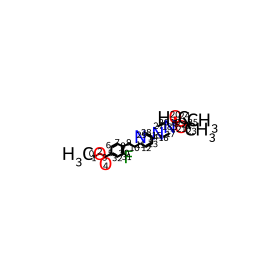 CCOC(=O)c1ccc(CCc2ccc(N3CCN(C(=O)OC(C)(C)C)CC3)cn2)c(F)c1